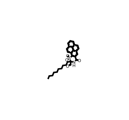 CCCCCCCCCCC1([C]=O)NC(=O)c2cc3ccc4cccc5ccc(c2S1(=O)=O)c3c45